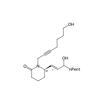 CCCCCC(O)/C=C/[C@H]1CCCC(=O)N1CC#CCCCCO